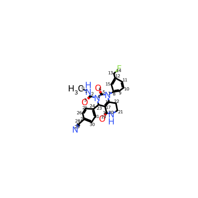 CNC(=O)N1C(=O)N(c2cccc(CF)c2)C2=C(C(=O)NCC2)C1c1ccc(C#N)cc1